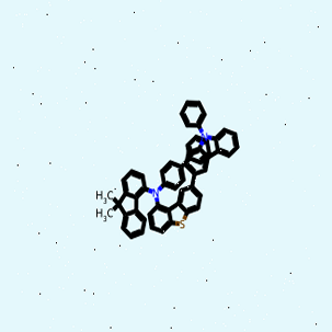 CC1(C)c2ccccc2-c2c(N(c3ccc(-c4ccccc4)cc3)c3cccc4sc5ccc(-c6ccc7c(c6)c6ccccc6n7-c6ccccc6)cc5c34)cccc21